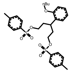 CCCCOc1ccccc1C(CCOS(=O)(=O)c1ccc(C)cc1)CCOS(=O)(=O)c1ccc(C)cc1